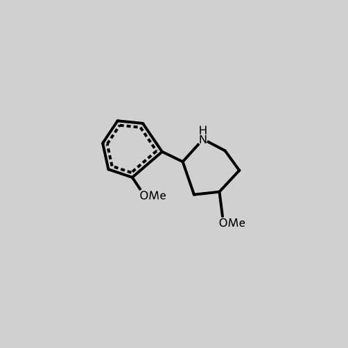 COc1ccccc1C1CC(OC)CCN1